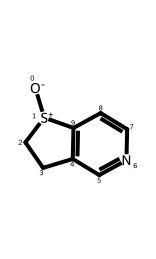 [O-][S+]1CCc2cnccc21